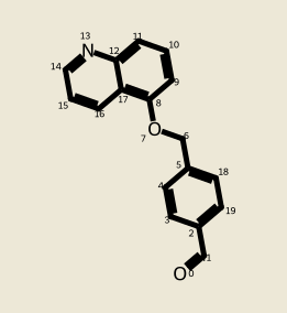 O=[C]c1ccc(COc2cccc3ncccc23)cc1